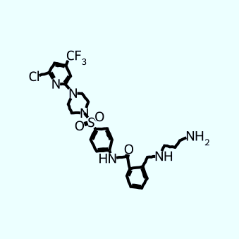 NCCCNCc1ccccc1C(=O)Nc1ccc(S(=O)(=O)N2CCN(c3cc(C(F)(F)F)cc(Cl)n3)CC2)cc1